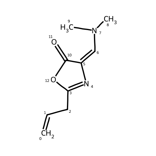 C=CCC1=N/C(=C/N(C)C)C(=O)O1